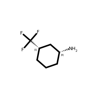 N[C@@H]1CCC[C@H](C(F)(F)F)C1